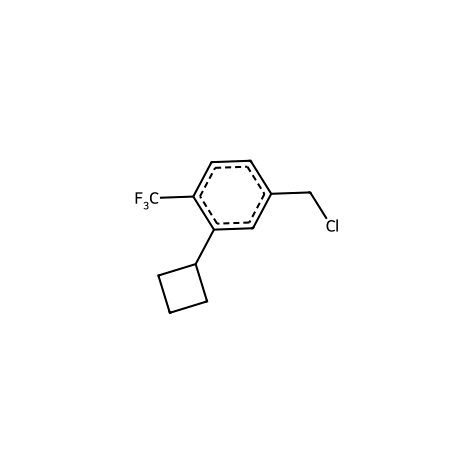 FC(F)(F)c1ccc(CCl)cc1C1CCC1